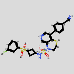 N#Cc1ccc(-c2cncc3c2SCCN3S(=O)(=O)NC2CC(S(=O)(=O)c3cccc(F)c3)C2)cc1